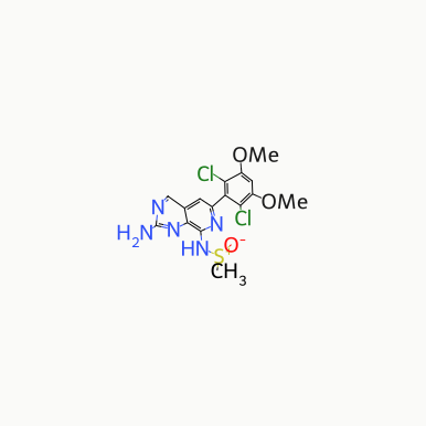 COc1cc(OC)c(Cl)c(-c2cc3cnc(N)nc3c(N[S+](C)[O-])n2)c1Cl